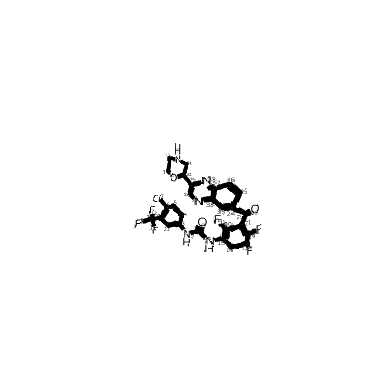 O=C(Nc1ccc(Cl)c(C(F)(F)F)c1)Nc1cc(F)c(F)c(C(=O)c2ccc3nc(C4CNCCO4)cnc3c2)c1F